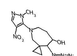 Cn1ncc([N+](=O)[O-])c1N1CCC(O)C(N=[N+]=[N-])C2(CC2)C1